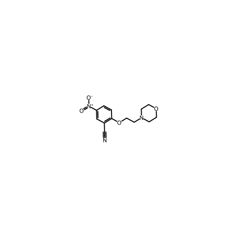 N#Cc1cc([N+](=O)[O-])ccc1OCCN1CCOCC1